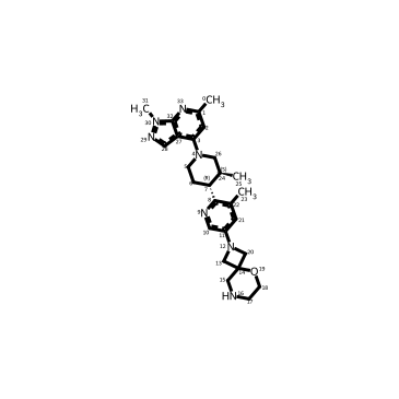 Cc1cc(N2CC[C@@H](c3ncc(N4CC5(CNCCO5)C4)cc3C)[C@H](C)C2)c2cnn(C)c2n1